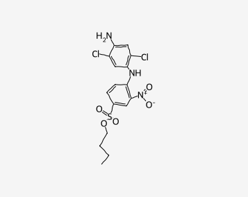 CCCCOS(=O)(=O)c1ccc(Nc2cc(Cl)c(N)cc2Cl)c([N+](=O)[O-])c1